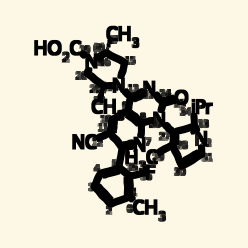 Cc1cccc(-c2nc3c(cc2C#N)c(N2C[C@@H](C)N(C(=O)O)C[C@@H]2C)nc(=O)n3-c2c(C)ccnc2C(C)C)c1F